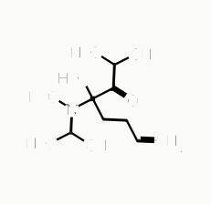 C=CCCC(C)(C(=O)C(C)C)N(C)C(C)C